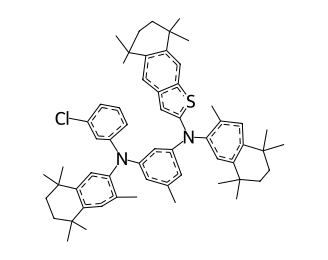 Cc1cc(N(c2cccc(Cl)c2)c2cc3c(cc2C)C(C)(C)CCC3(C)C)cc(N(c2cc3cc4c(cc3s2)C(C)(C)CCC4(C)C)c2cc3c(cc2C)C(C)(C)CCC3(C)C)c1